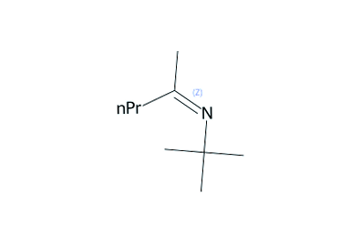 CCC/C(C)=N\C(C)(C)C